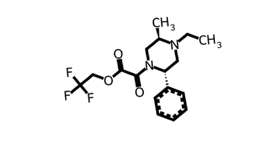 CCN1C[C@H](c2ccccc2)N(C(=O)C(=O)OCC(F)(F)F)C[C@H]1C